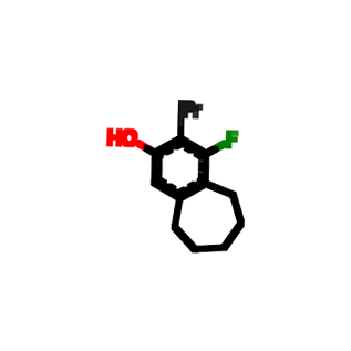 CC(C)c1c(O)cc2c(c1F)CCCCC2